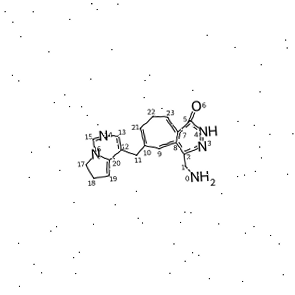 NCc1n[nH]c(=O)c2c1=CC(CC1=CN=CN3CCC=C13)=CCC=2